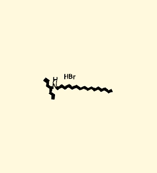 Br.C=CCC(CC=C)NCCCCCCCCCCCCCCCC